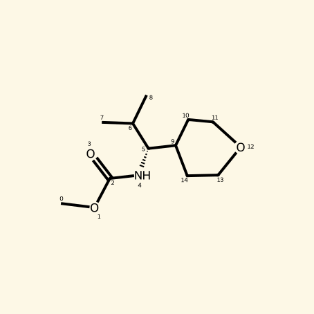 COC(=O)N[C@H](C(C)C)C1CCOCC1